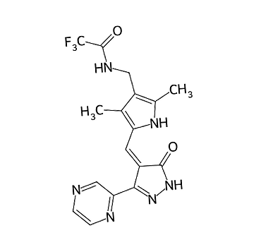 Cc1[nH]c(C=C2C(=O)NN=C2c2cnccn2)c(C)c1CNC(=O)C(F)(F)F